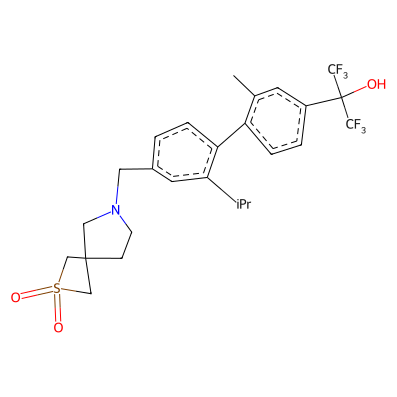 Cc1cc(C(O)(C(F)(F)F)C(F)(F)F)ccc1-c1ccc(CN2CCC3(C2)CS(=O)(=O)C3)cc1C(C)C